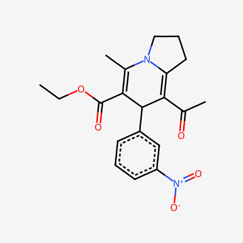 CCOC(=O)C1=C(C)N2CCCC2=C(C(C)=O)C1c1cccc([N+](=O)[O-])c1